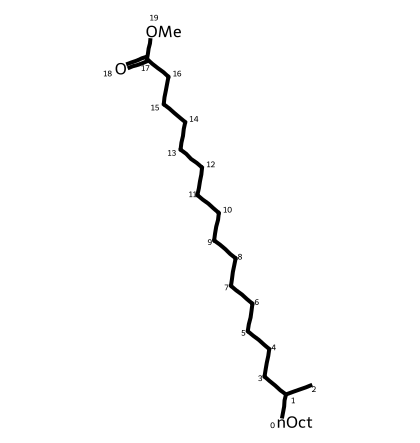 CCCCCCCCC(C)CCCCCCCCCCCCCCC(=O)OC